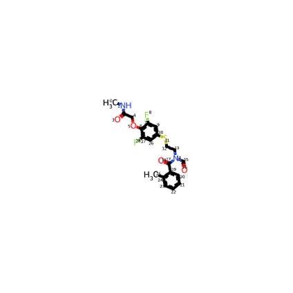 CNC(=O)COc1c(F)cc(SCCN(C=O)C(=O)c2ccccc2C)cc1F